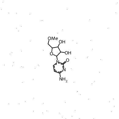 COCC1OC(n2ccc(N)nc2=O)C(O)C1O